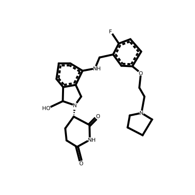 O=C1CC[C@H](N2Cc3c(NCc4cc(OCCN5CCCC5)ccc4F)cccc3C2O)C(=O)N1